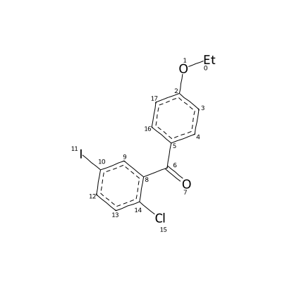 CCOc1ccc(C(=O)c2cc(I)ccc2Cl)cc1